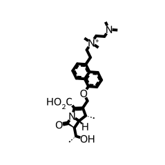 C[C@@H](O)[C@H]1C(=O)N2C(C(=O)O)=C(COc3cccc4c(CC[N+](C)(C)CCN(C)C)cccc34)[C@H](C)[C@H]12